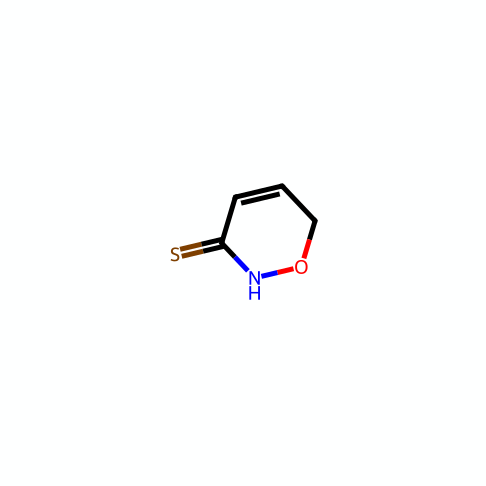 S=C1C=CCON1